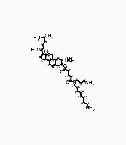 CC(C)CCCC(C)C1CCC2C3CC=C4CC(OC(=O)CCCC(=O)N(CCCN)CCCCCCCCN)CCC4(C)C3CCC12C.Cl.Cl